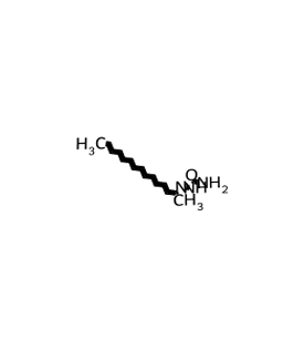 CCCCCCCCCCCCCC(C)=NNC(N)=O